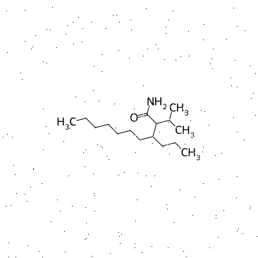 CCCCCCCC(CCC)C(C(N)=O)C(C)C